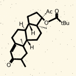 CC(=O)[C@@]1(OC(=O)C(C)(C)C)CC[C@H]2[C@@H]3CCC4=CC(=O)C(C)C[C@]4(C)[C@H]3CC[C@@]21C